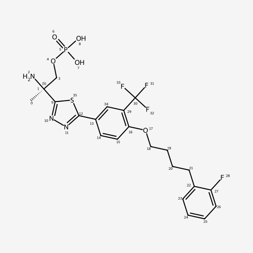 C[C@](N)(COP(=O)(O)O)c1nnc(-c2ccc(OCCCCc3ccccc3F)c(C(F)(F)F)c2)s1